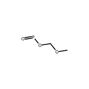 COCOP=O